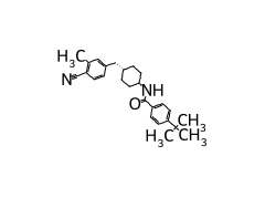 Cc1cc(C[C@H]2CC[C@H](NC(=O)c3ccc(C(C)(C)C)cc3)CC2)ccc1C#N